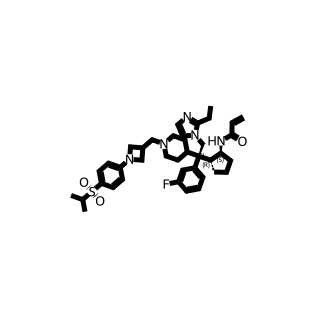 C=CC(=O)N[C@H]1CCC[C@@H]1[C@](Cn1ccnc1CC)(c1cccc(F)c1)C1CCN(CC2CN(c3ccc(S(=O)(=O)C(C)C)cc3)C2)CC1